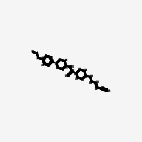 CCCc1ccc([C@H]2CC[C@H](OC(=O)[C@H]3CC[C@H](CCC=CC#N)CC3)CC2)cc1